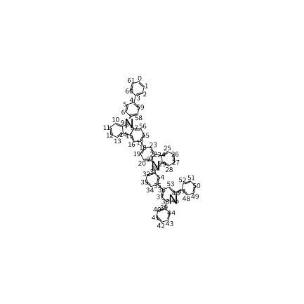 c1ccc(-c2ccc(-n3c4ccccc4c4cc(-c5ccc6c(c5)c5ccccc5n6-c5cccc(-c6cc(-c7ccccc7)nc(-c7ccccc7)c6)c5)ccc43)cc2)cc1